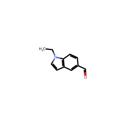 CCn1ccc2cc(C=O)ccc21